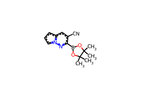 CC1(C)OB(c2nn3cccc3cc2C#N)OC1(C)C